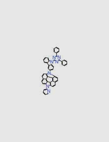 c1ccc(-c2nc(-c3ccccc3)nc(-n3c4ccccc4c4cc(-n5c6ccc7ccc8c9c7c6c6c7c(ccc65)ccc(c79)n8-c5ccccn5)ccc43)n2)cc1